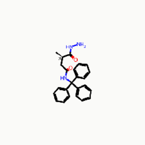 C[C@H](CC(=O)NC(c1ccccc1)(c1ccccc1)c1ccccc1)C(=O)NN